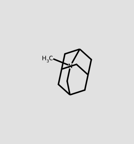 CN1CC2CC3CC(C2)CC1C3